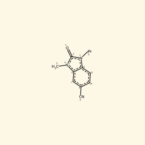 CC(C)n1c(=O)n(C)c2cc(C#N)ccc21